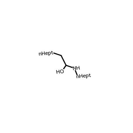 CCCCCCCCC(O)NCCCCCCC